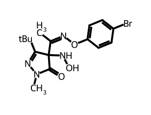 CC(=NOc1ccc(Br)cc1)C1(NO)C(=O)N(C)N=C1C(C)(C)C